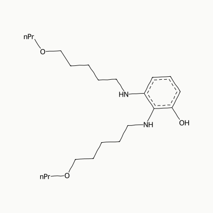 CCCOCCCCCNc1cccc(O)c1NCCCCCOCCC